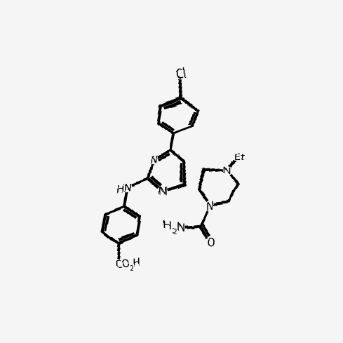 CCN1CCN(C(N)=O)CC1.O=C(O)c1ccc(Nc2nccc(-c3ccc(Cl)cc3)n2)cc1